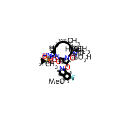 COc1cc(F)cc2c(O[C@@H]3C[C@H]4C(=O)N[C@]5(C(=O)NS(=O)(=O)C6(C)CC6)C[C@H]5C=CCC[C@@H](C)C[C@@H](C)[C@H](N(C(=O)O)C(C)(C)C(F)(F)F)C(=O)N4C3)nccc12